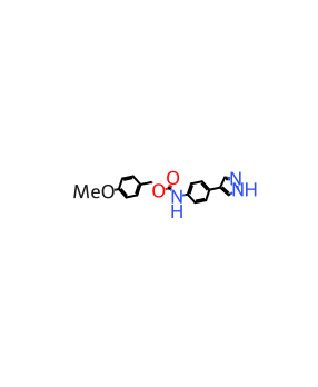 COc1ccc(COC(=O)Nc2ccc(-c3cn[nH]c3)cc2)cc1